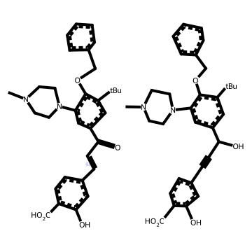 CN1CCN(c2cc(C(=O)/C=C/c3ccc(C(=O)O)c(O)c3)cc(C(C)(C)C)c2OCc2ccccc2)CC1.CN1CCN(c2cc(C(O)C#Cc3ccc(C(=O)O)c(O)c3)cc(C(C)(C)C)c2OCc2ccccc2)CC1